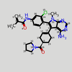 C=C(C)C(=O)Nc1ccc(-c2c(C3=CC[C@H](C(=O)N4CCCC4)CC3)c3c(N)ncnc3n2C)c(Cl)c1